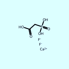 O=C(O)CP(=O)(O)O.[Ca+2].[F-].[F-]